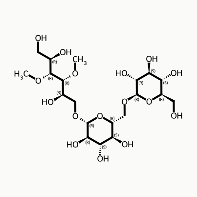 CO[C@@H]([C@H](OC)[C@H](O)CO[C@@H]1O[C@H](CO[C@@H]2O[C@H](CO)[C@@H](O)[C@H](O)[C@H]2O)[C@@H](O)[C@H](O)[C@H]1O)[C@H](O)CO